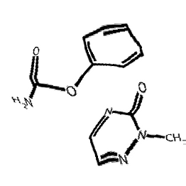 Cn1nccnc1=O.NC(=O)Oc1ccccc1